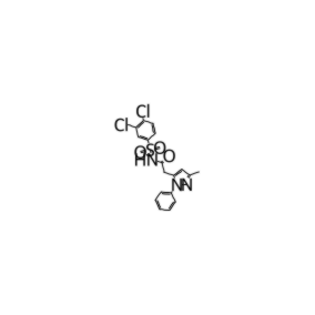 Cc1cc(CC(=O)NS(=O)(=O)c2ccc(Cl)c(Cl)c2)n(-c2ccccc2)n1